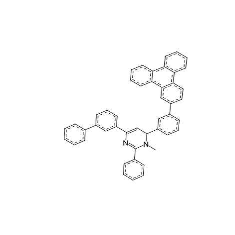 CN1C(c2ccccc2)=NC(c2cccc(-c3ccccc3)c2)=CC1c1cccc(-c2ccc3c4ccccc4c4ccccc4c3c2)c1